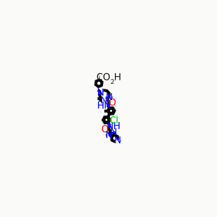 Cc1c(NC(=O)/C2=N/C(C)(C)CN(C[C@H]3CC[C@@H](C(=O)O)CC3)CCCN2C)cccc1-c1cccc(NC(=O)c2nc3c(n2C)CCN(C)C3)c1Cl